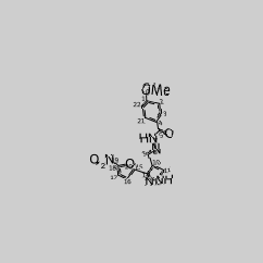 COc1ccc(C(=O)NN=Cc2c[nH]nc2-c2ccc([N+](=O)[O-])o2)cc1